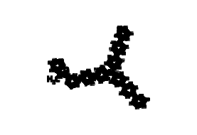 Cc1c(-c2cccc(-c3ccc(-c4ccc(N(c5ccc(-c6ccc(-c7ccccc7)cc6)cc5)c5ccc(-c6ccc(-c7ccccc7)cc6)cc5)cc4)cc3)c2)oc2ccccc12